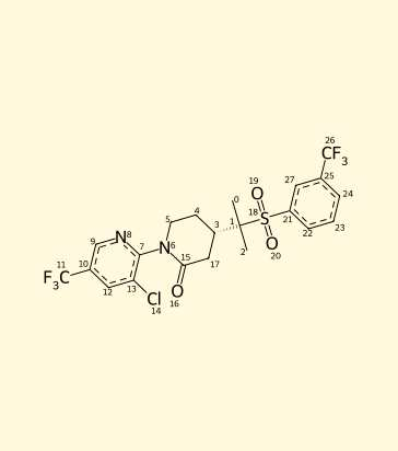 CC(C)([C@H]1CCN(c2ncc(C(F)(F)F)cc2Cl)C(=O)C1)S(=O)(=O)c1cccc(C(F)(F)F)c1